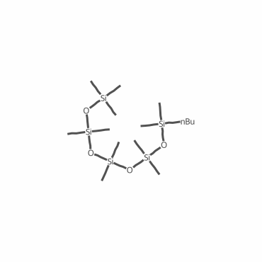 [CH2]CCC[Si](C)(C)O[Si](C)(C)O[Si](C)(C)O[Si](C)(C)O[Si](C)(C)C